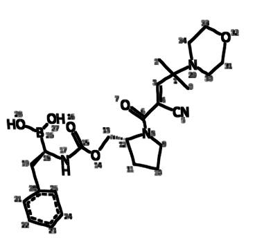 CC(C)(/C=C(\C#N)C(=O)N1CCC[C@@H]1COC(=O)N[C@@H](Cc1ccccc1)B(O)O)N1CCOCC1